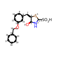 O=C1NC(S(=O)(=O)O)SC1=Cc1cccc(OCc2ccccc2)c1